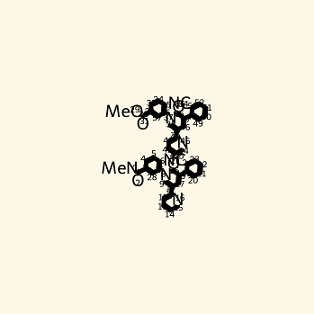 CNC(=O)c1cccc(-n2cc(-c3ccccn3)cc(-c3ccccc3C#N)c2=O)c1.COC(=O)c1cccc(-n2cc(-c3ccccn3)cc(-c3ccccc3C#N)c2=O)c1